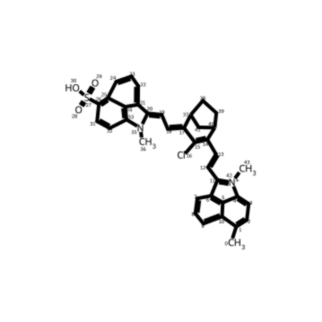 Cc1ccc2c3c(cccc13)C(/C=C/C1=C(Cl)C(=C/C=c3/c4cccc5c(S(=O)(=O)O)ccc(c54)n3C)/C3CCC1C3)=[N+]2C